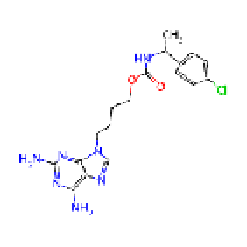 CC(NC(=O)OCCCCn1cnc2c(N)nc(N)nc21)c1ccc(Cl)cc1